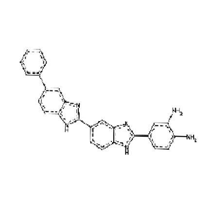 Nc1ccc(-c2nc3cc(-c4nc5cc(-c6ccccc6)ccc5[nH]4)ccc3[nH]2)cc1N